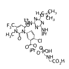 CC(C)OC(=O)c1cc(-n2c(=O)cc(C(F)(F)F)n(C)c2=O)ccc1Cl.CCNc1nc(Cl)nc(NC(C)C)n1.C[S+](C)C.O=C(O)CNCP(=O)([O-])O